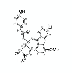 COc1ccc2c(c1)C(c1ccc(Cl)cc1)=N[C@H](CC(=O)Nc1ccc(O)cc1)c1cc(=O)n(C)cc1-2